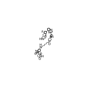 Cn1c(=O)n(C2CCC(=O)NC2=O)c2ccc(NCCCCCCC(=O)N3CCC(n4cc(-c5cnc6cccc(-c7cc(F)c(CC8CNCCO8)c(F)c7)c6n5)cn4)CC3)cc21